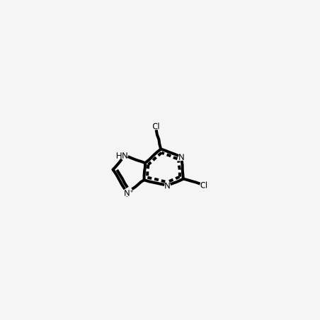 Clc1nc(Cl)c2c(n1)[N+]=CN2